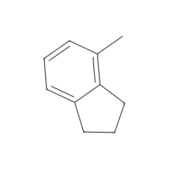 Cc1cccc2c1CCC2